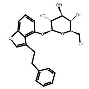 OC[C@H]1O[C@@H](Oc2cccc3occ(CCc4ccccc4)c23)[C@H](O)[C@@H](O)[C@@H]1O